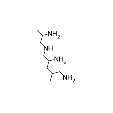 CC(N)CNCC(N)CC(C)CN